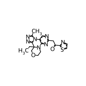 CCC12COCCN1c1nc(CC(=O)c3nccs3)ncc1-n1c(C)nnc12